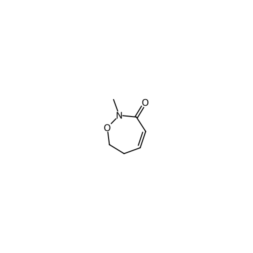 CN1OCCC=CC1=O